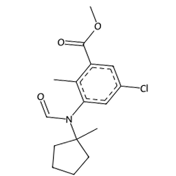 COC(=O)c1cc(Cl)cc(N(C=O)C2(C)CCCC2)c1C